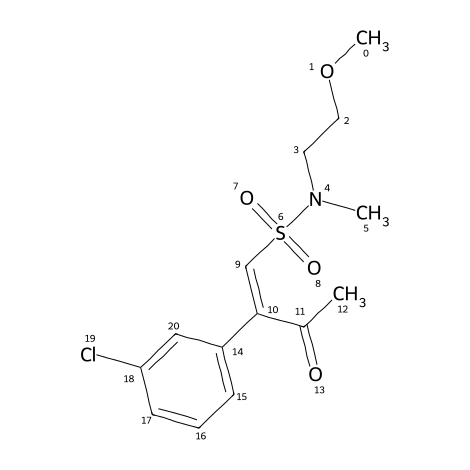 COCCN(C)S(=O)(=O)C=C(C(C)=O)c1cccc(Cl)c1